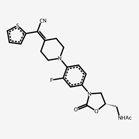 CC(=O)NC[C@H]1CN(c2ccc(N3CCC(=C(C#N)c4cccs4)CC3)c(F)c2)C(=O)O1